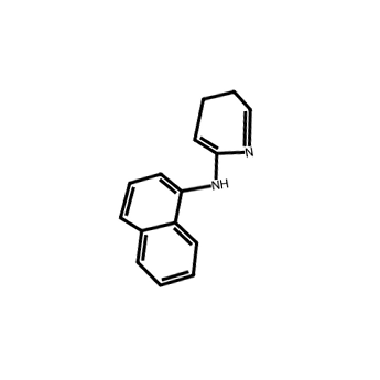 C1=NC(Nc2cccc3ccccc23)=CCC1